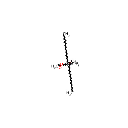 C=CC(=O)OCCC[Si](CCCCCCCCCCCCCCCCCC)(CCCCCCCCCCCCCCCCCC)O[Si](C)(C)C